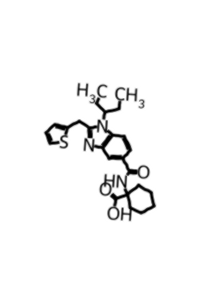 CCC(CC)n1c(Cc2cccs2)nc2cc(C(=O)NC3(C(=O)O)CCCCC3)ccc21